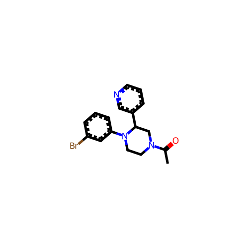 CC(=O)N1CCN(c2cccc(Br)c2)C(c2cccnc2)C1